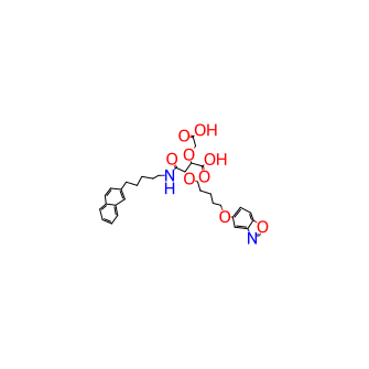 O=C(O)COC(C(=O)O)C(OCCCCCOc1ccc2ocnc2c1)C(=O)NCCCCCc1ccc2ccccc2c1